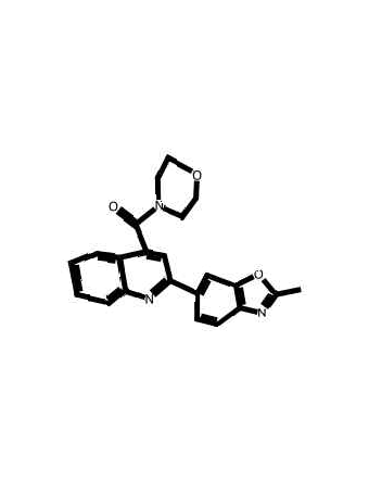 Cc1nc2ccc(-c3cc(C(=O)N4CCOCC4)c4ccccc4n3)cc2o1